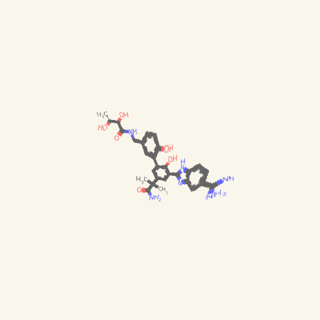 C[C@@H](O)C(O)C(=O)NCc1ccc(O)c(-c2cc(C(C)(C)C(N)=O)cc(-c3nc4cc(C(=N)N)ccc4[nH]3)c2O)c1